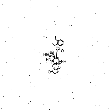 CCc1cccc(C(=O)NC2CN3C(=N)N[C@@H](CN4C(=O)CCC4=O)[C@@H]4NC(=N)NC43C2(O)O)c1CC